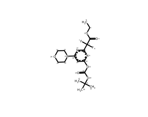 CCOC(=O)C(F)(F)c1nc(OC(=O)OC(C)(C)C)cc(N2CCOCC2)n1